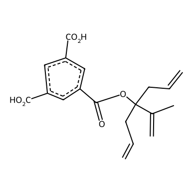 C=CCC(CC=C)(OC(=O)c1cc(C(=O)O)cc(C(=O)O)c1)C(=C)C